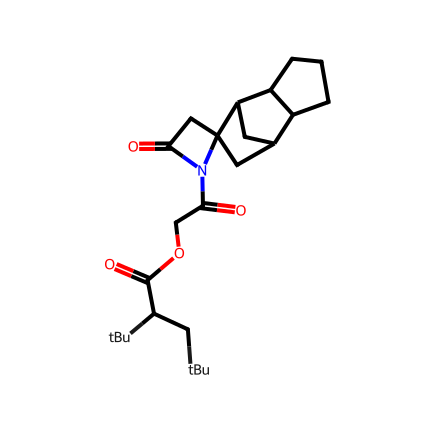 CC(C)(C)CC(C(=O)OCC(=O)N1C(=O)CC12CC1CC2C2CCCC12)C(C)(C)C